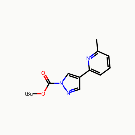 Cc1cccc(-c2cnn(C(=O)OC(C)(C)C)c2)n1